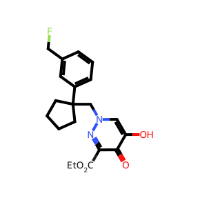 CCOC(=O)c1nn(CC2(c3cccc(CF)c3)CCCC2)cc(O)c1=O